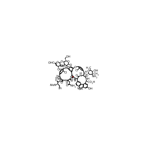 CN[C@H](CC(C)C)C(=O)N[C@H]1C(=O)N[C@@H](CC(N)=O)C(=O)N[C@H]2C(=O)N[C@H]3C(=O)NC(C(=O)N[C@@H](C(=O)O)c4cc(O)cc(O)c4-c4cc3ccc4O)[C@H](O[C@H]3C[C@](C)(N)[C@@H](O)[C@H](C)O3)c3ccc(c(Cl)c3)Oc3cc2cc(c3O[C@@H]2O[C@H](CO)[C@@H](O[C@@H]3OC(C=O)=C[C@H](O)[C@H]3O)[C@H](O)[C@H]2O)Oc2ccc(cc2Cl)[C@H]1O